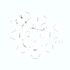 Oc1ccccc1ON1P(Oc2ccccc2O)N=P(Oc2ccccc2O)(Oc2ccccc2O)N(Oc2ccccc2)P(Oc2ccccc2)N(Oc2ccccc2)P1Oc1ccccc1